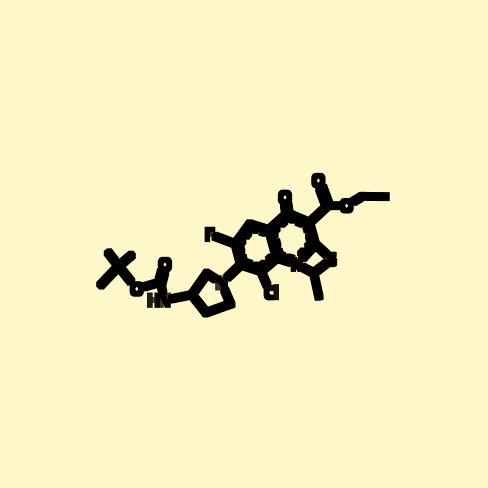 CCOC(=O)c1c2n(c3c(Cl)c(N4CCC(NC(=O)OC(C)(C)C)C4)c(F)cc3c1=O)C(C)S2